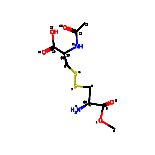 COC(=O)[C@@H](N)CSSC[C@H](NC(C)=O)C(=O)O